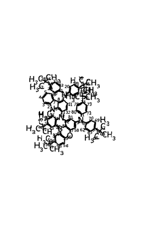 Cn1c2ccccc2c2c(N(c3ccc(C(C)(C)C)cc3)c3ccc(C(C)(C)C)cc3)ccc(N3c4ccc(C(C)(C)C)cc4B4c5cc(C(C)(C)C)ccc5Oc5cc(N(c6ccc(C(C)(C)C)cc6)c6ccc(C(C)(C)C)cc6)cc3c54)c21